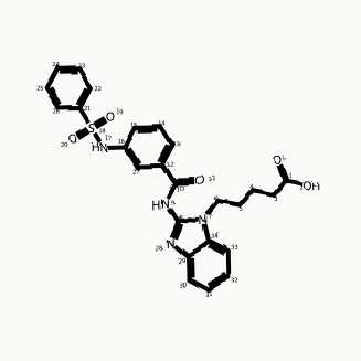 O=C(O)CCCCn1c(NC(=O)c2cccc(NS(=O)(=O)c3ccccc3)c2)nc2ccccc21